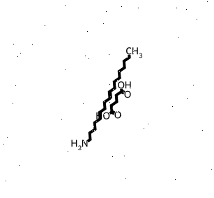 CCCCCCCCC=CCCCCCCCCN.O=C(O)CCCC(=O)O